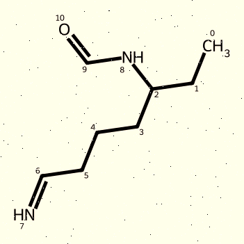 CCC(CCCC=N)NC=O